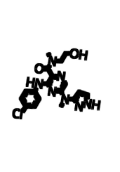 CN(CCO)C(=O)c1ncc(N(C)c2cc[nH]n2)nc1Nc1ccc(Cl)cc1